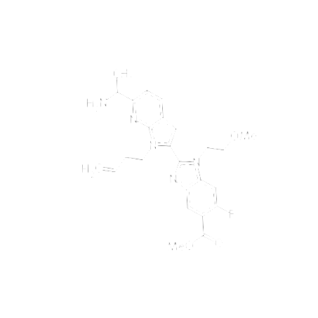 C=CCCn1c(-c2nc3cc(C(=O)OC)c(F)cc3n2CCOC)cc2ccc(C(C)N)nc21